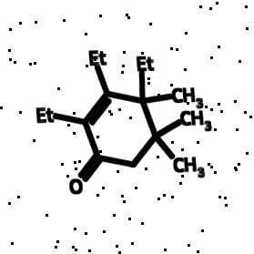 CCC1=C(CC)C(C)(CC)C(C)(C)CC1=O